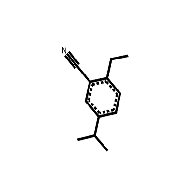 CCc1ccc(C(C)C)cc1C#N